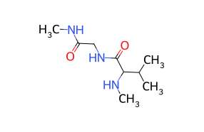 CNC(=O)CNC(=O)C(NC)C(C)C